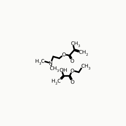 C=C(C)C(=O)OCCN(C)C.C=C(O)C(=O)OCC